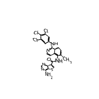 Cc1ccc2c(Nc3cc(Cl)c(Cl)c(Cl)c3)nccc2c1NC(=O)c1csc2c(N)ncnc12